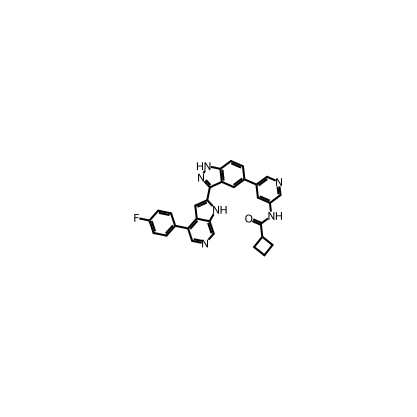 O=C(Nc1cncc(-c2ccc3[nH]nc(-c4cc5c(-c6ccc(F)cc6)cncc5[nH]4)c3c2)c1)C1CCC1